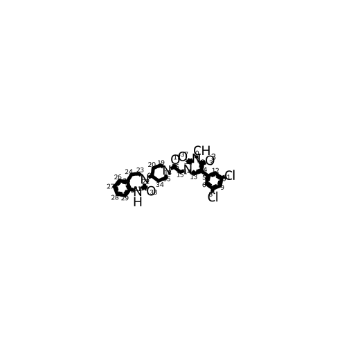 Cn1c(=O)c(-c2cc(Cl)cc(Cl)c2)cn(CC(=O)N2CCC(N3CCc4ccccc4NC3=O)CC2)c1=O